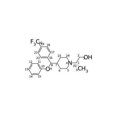 C[C@@H](CO)N1CCC(C(Oc2ccccc2)c2ccc(C(F)(F)F)cc2)CC1